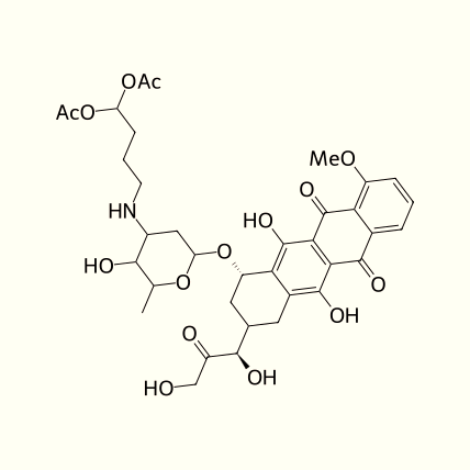 COc1cccc2c1C(=O)c1c(O)c3c(c(O)c1C2=O)CC([C@@H](O)C(=O)CO)C[C@@H]3OC1CC(NCCCC(OC(C)=O)OC(C)=O)C(O)C(C)O1